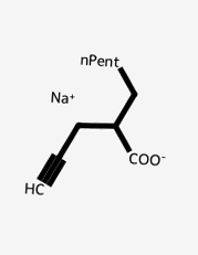 C#CCC(CCCCCC)C(=O)[O-].[Na+]